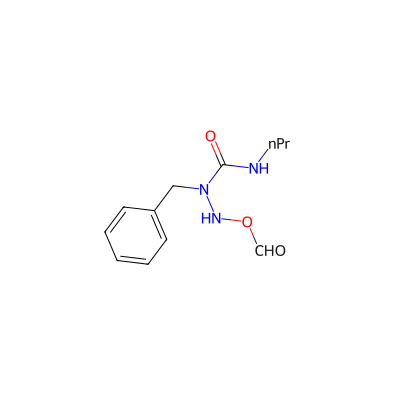 CCCNC(=O)N(Cc1ccccc1)NOC=O